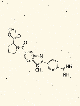 COC(=O)C1CCCN1C(=O)c1ccc2c(c1)nc(-c1ccc(C(=N)N)cc1)n2C